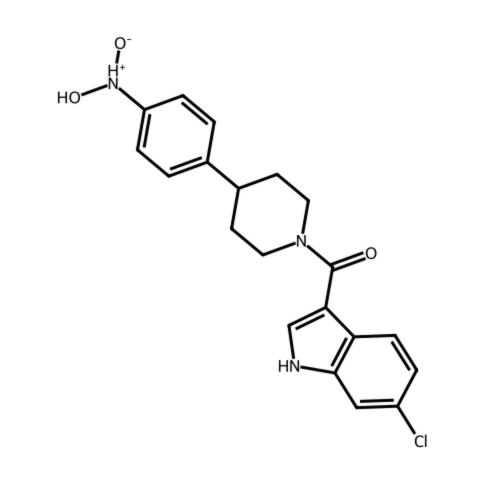 O=C(c1c[nH]c2cc(Cl)ccc12)N1CCC(c2ccc([NH+]([O-])O)cc2)CC1